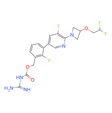 N=C(N)NC(=O)OCc1cccc(-c2cnc(N3CC(OCC(F)F)C3)c(F)c2)c1F